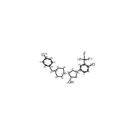 O[C@@H]1CN(c2ccc(Cl)c(C(F)(F)F)c2)C[C@H]1N1CCN(Cc2ccc(Cl)cc2)CC1